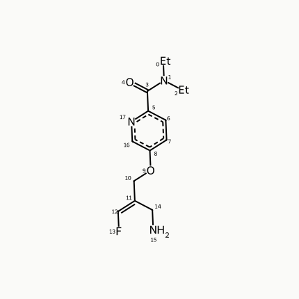 CCN(CC)C(=O)c1ccc(OC/C(=C/F)CN)cn1